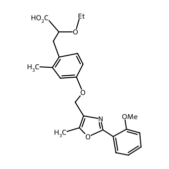 CCOC(Cc1ccc(OCc2nc(-c3ccccc3OC)oc2C)cc1C)C(=O)O